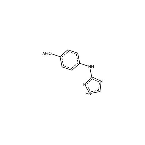 COc1ccc(Nc2nc[nH]n2)cc1